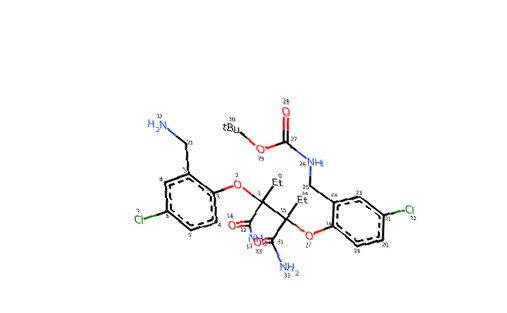 CCC(Oc1ccc(Cl)cc1CN)(C(N)=O)C(CC)(Oc1ccc(Cl)cc1CNC(=O)OC(C)(C)C)C(N)=O